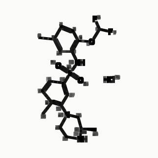 Cc1ccc(OC(F)F)c(NS(=O)(=O)c2ccc(C)c(N3CCN[C@H](C)C3)c2)c1.Cl